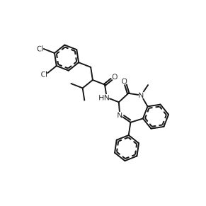 CC(C)C(Cc1ccc(Cl)c(Cl)c1)C(=O)NC1N=C(c2ccccc2)c2ccccc2N(C)C1=O